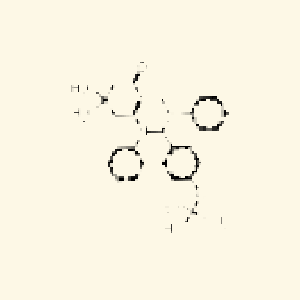 CC1(C)CC(=O)C2=C(C1)N(c1ccccc1)C(c1ccc(OC(C)(C)C)cc1)N(c1ccccc1)C2